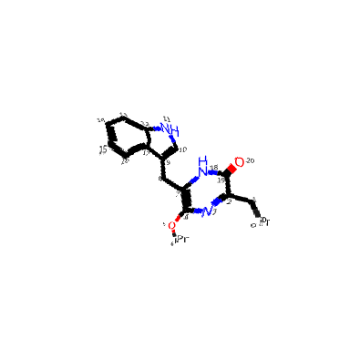 CC(C)Cc1nc(OC(C)C)c(Cc2c[nH]c3ccccc23)[nH]c1=O